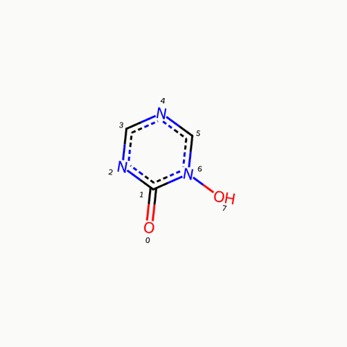 O=c1ncncn1O